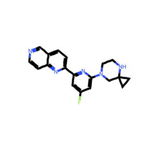 Fc1cc(-c2ccc3cnccc3n2)nc(N2CCNC3(CC3)C2)c1